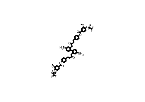 COc1cc(C(=O)Oc2ccc(/C=C/C(=O)Cc3cc(N)ccc3-c3ccc(N)cc3CC(=O)/C=C/c3ccc(OC(=O)c4ccc(OC(F)(F)C(F)F)c(OC)c4)cc3)cc2)ccc1OC(F)(F)C(F)F